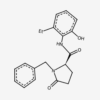 CCc1cccc(O)c1NC(=O)[C@H]1CCC(=O)N1Cc1ccccc1